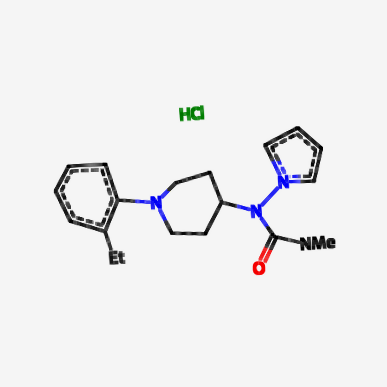 CCc1ccccc1N1CCC(N(C(=O)NC)n2cccc2)CC1.Cl